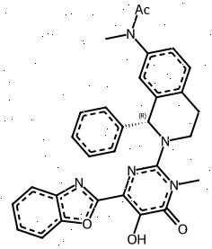 CC(=O)N(C)c1ccc2c(c1)[C@@H](c1ccccc1)N(c1nc(-c3nc4ccccc4o3)c(O)c(=O)n1C)CC2